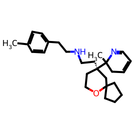 Cc1ccc(CCNCC[C@@]2(C3(C)CC=CC=N3)CCOC3(CCCC3)C2)cc1